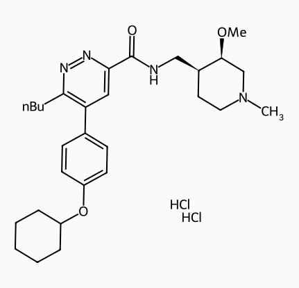 CCCCc1nnc(C(=O)NC[C@@H]2CCN(C)C[C@@H]2OC)cc1-c1ccc(OC2CCCCC2)cc1.Cl.Cl